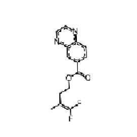 CC(CCOC(=O)c1ccc2nccnc2c1)=C(F)F